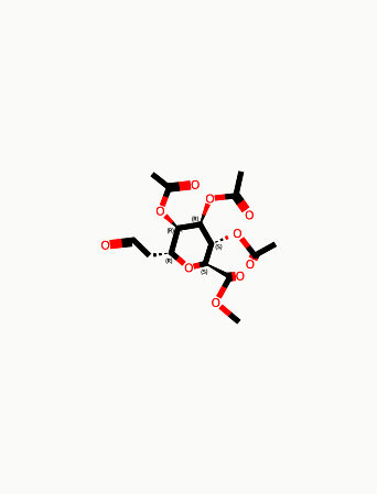 COC(=O)[C@H]1O[C@H](CC=O)[C@@H](OC(C)=O)[C@@H](OC(C)=O)[C@@H]1OC(C)=O